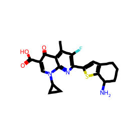 Cc1c(F)c(-c2cc3c(s2)C(N)CCC3)nc2c1c(=O)c(C(=O)O)cn2C1CC1